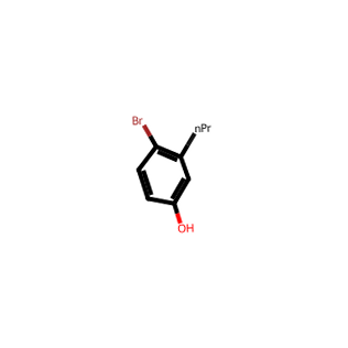 CCCc1cc(O)ccc1Br